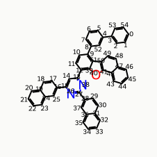 c1ccc(-c2cccc(-c3ccc(-c4cc(-c5ccc6ccccc6c5)nc(-c5ccc6ccccc6c5)n4)c4oc5c6ccccc6ccc5c34)c2)cc1